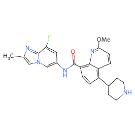 COc1ccc2c(C3CCNCC3)ccc(C(=O)Nc3cc(F)c4nc(C)cn4c3)c2n1